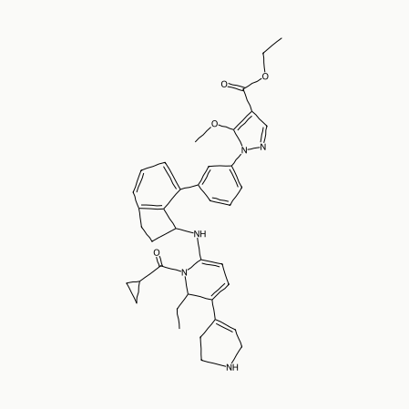 CCOC(=O)c1cnn(-c2cccc(-c3cccc4c3C(NC3=CC=C(C5=CCNCC5)C(CC)N3C(=O)C3CC3)CC4)c2)c1OC